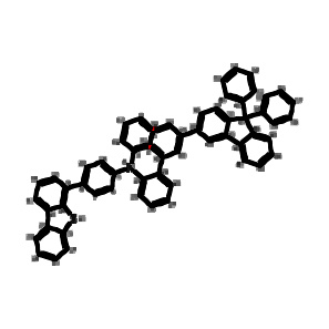 c1ccc(N(c2ccc(-c3cccc4c3sc3ccccc34)cc2)c2ccccc2-c2cccc(-c3ccc4c(c3)-c3ccccc3C4(c3ccccc3)c3ccccc3)c2)cc1